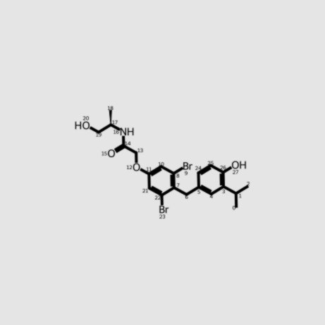 CC(C)c1cc(Cc2c(Br)cc(OCC(=O)N[C@H](C)CO)cc2Br)ccc1O